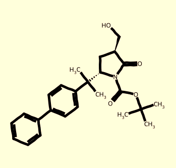 CC(C)(C)OC(=O)N1C(=O)[C@H](CO)C[C@H]1C(C)(C)c1ccc(-c2ccccc2)cc1